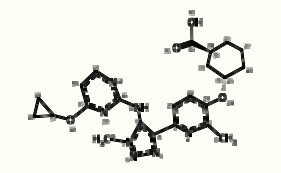 Cc1nc(-c2nnn(C)c2Nc2nccc(OC3CC3)n2)ccc1O[C@H]1CCC[C@H](C(=O)O)C1